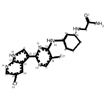 NC(=O)CN[C@@H]1CCCC(Nc2nc(-c3c[nH]c4ncc(Cl)cc34)ncc2F)C1